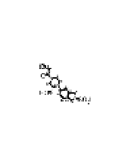 CC(C)(C)OC(=O)N1CCN(c2ccc3c(c2)CN(C(=O)O)C3)[C@H](CO)C1